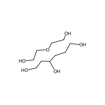 OCCCC(O)CCO.OCCOCCO